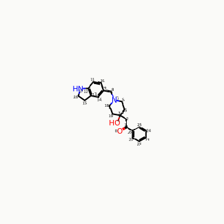 O=C(CC1(O)CCN(Cc2ccc3c(c2)CCN3)CC1)c1ccccc1